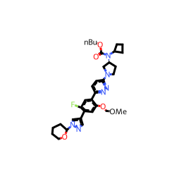 CCCCOC(=O)N(C1CCC1)[C@@H]1CCN(c2ccc(-c3cc(F)c(-c4cnn(C5CCCCO5)c4)cc3OCOC)nn2)C1